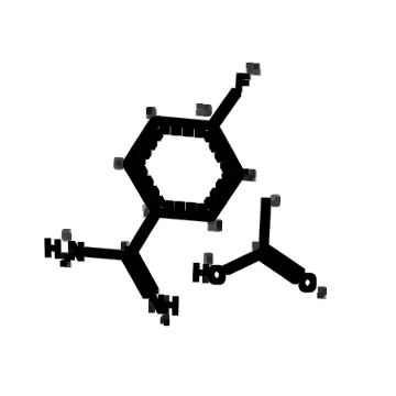 CC(=O)O.N=C(N)c1ccc(F)cc1